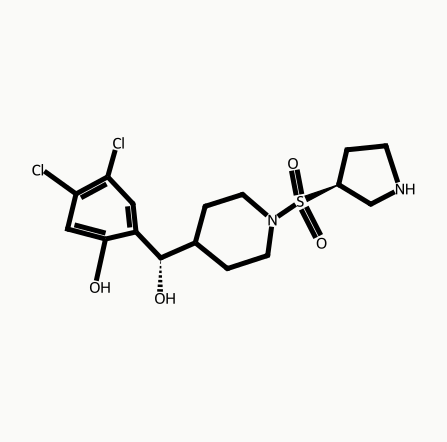 O=S(=O)([C@H]1CCNC1)N1CCC([C@H](O)c2cc(Cl)c(Cl)cc2O)CC1